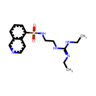 CC/N=C(/NCC)NCCNS(=O)(=O)c1cccc2cnccc12